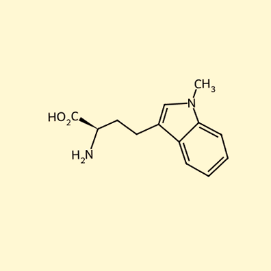 Cn1cc(CC[C@@H](N)C(=O)O)c2ccccc21